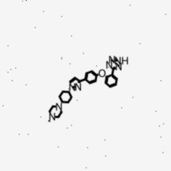 CN1CCN([C@H]2CC[C@@H](n3ccc(-c4ccc(Oc5ccccc5-c5nn[nH]n5)cc4)n3)CC2)CC1